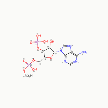 Nc1ncnc2c1ncn2[C@@H]1O[C@H](COP(=O)(O)OS(=O)(=O)O)C(OP(=O)(O)O)[C@@H]1O